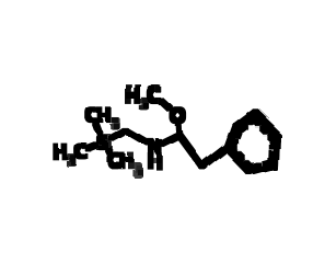 COC(Cc1ccccc1)NC[Si](C)(C)C